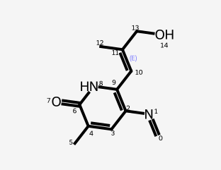 C=Nc1cc(C)c(=O)[nH]c1/C=C(\C)CO